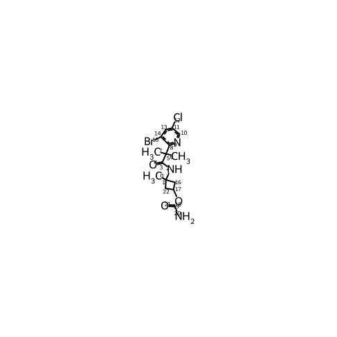 CC1(NC(=O)C(C)(C)c2ncc(Cl)cc2Br)CC(OC(N)=O)C1